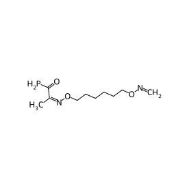 C=NOCCCCCCO/N=C(/C)C(=O)P